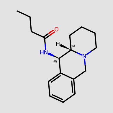 CCCC(=O)N[C@@H]1c2ccccc2CN2CCCC[C@@H]12